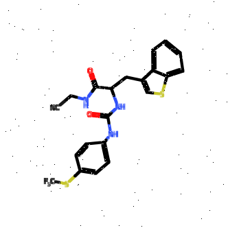 N#CCNC(=O)C(Cc1csc2ccccc12)NC(=O)Nc1ccc(SC(F)(F)F)cc1